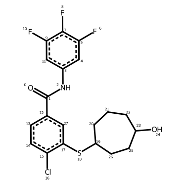 O=C(Nc1cc(F)c(F)c(F)c1)c1ccc(Cl)c(SC2CCCC(O)CC2)c1